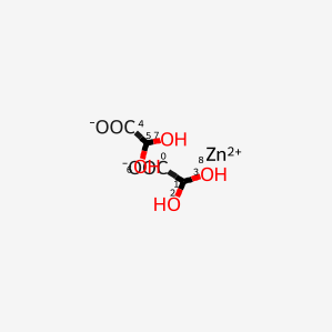 O=C([O-])C(O)O.O=C([O-])C(O)O.[Zn+2]